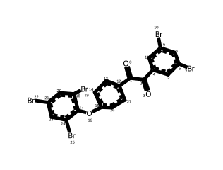 O=C(C(=O)c1cc(Br)cc(Br)c1)c1ccc(Oc2c(Br)cc(Br)cc2Br)cc1